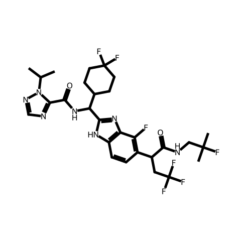 CC(C)n1ncnc1C(=O)NC(c1nc2c(F)c(C(CC(F)(F)F)C(=O)NCC(C)(C)F)ccc2[nH]1)C1CCC(F)(F)CC1